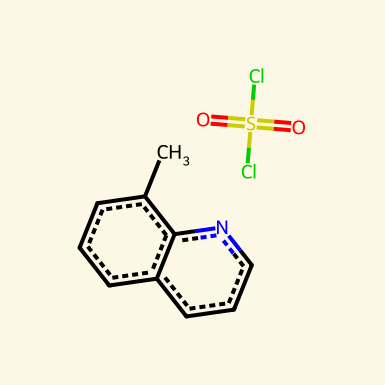 Cc1cccc2cccnc12.O=S(=O)(Cl)Cl